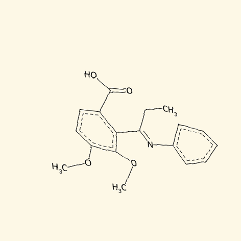 CCC(=Nc1ccccc1)c1c(C(=O)O)ccc(OC)c1OC